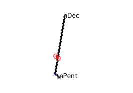 CCCCC/C=C\C/C=C\CCCCCCCCOC(=O)CCCCCCCCCCCCCCCCCCCCCCCCCCCCCCCCCC